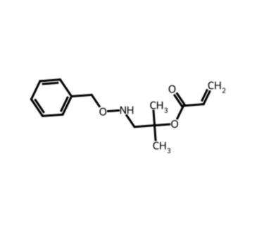 C=CC(=O)OC(C)(C)CNOCc1ccccc1